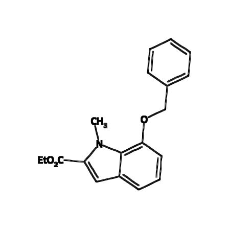 CCOC(=O)c1cc2cccc(OCc3ccccc3)c2n1C